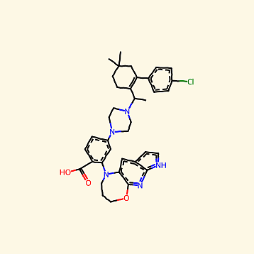 CC(C1=C(c2ccc(Cl)cc2)CC(C)(C)CC1)N1CCN(c2ccc(C(=O)O)c(N3CCCOc4nc5[nH]ccc5cc43)c2)CC1